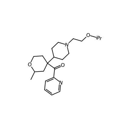 CC(C)OCCN1CCC(C2(C(=O)c3ccccn3)CCOC(C)C2)CC1